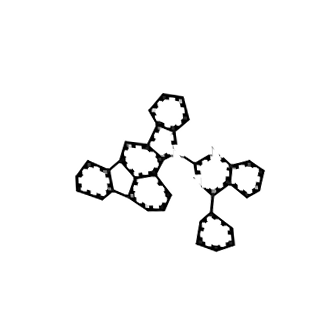 c1ccc(-c2nc(-n3c4ccccc4c4cc5c6c(cccc6c43)-c3ccccc3-5)nc3ccccc23)cc1